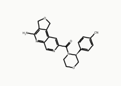 N#Cc1ccc([C@H]2COCCN2C(=O)c2cc3c4c(c(N)nc3cn2)COC4)cc1